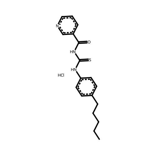 CCCCCc1ccc(NC(=S)NC(=O)c2cccnc2)cc1.Cl